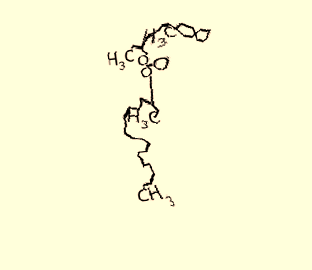 CC/C=C\C/C=C\C/C=C\C/C=C\C/C=C\CCC(CC)COC(=O)OCC(CC)CC/C=C\C1(C)C=CC2(C=CCC=C2)C=C1